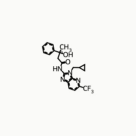 C[C@@](O)(CC(=O)Nc1nc2ccc(C(F)(F)F)nc2n1CC1CC1)c1ccccc1